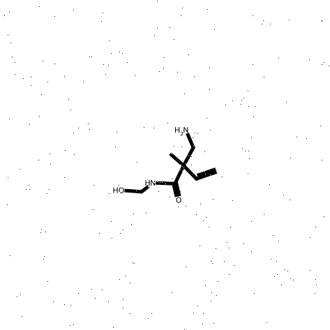 C=CC(C)(CN)C(=O)NCO